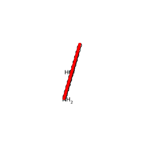 COCCOCCOCCOCCOCCOCCOCCOCCOCCOCCOCCOCCOCCOCCOCCOCCOCCOCCOCCOCCOCCOCCN.Cl